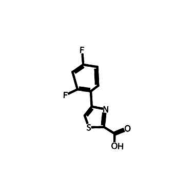 O=C(O)c1nc(-c2ccc(F)cc2F)cs1